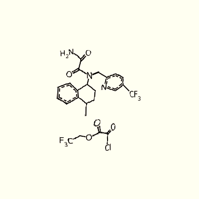 CC1CCC(N(Cc2ccc(C(F)(F)F)cn2)C(=O)C(N)=O)c2ccccc21.O=C(Cl)C(=O)OCC(F)(F)F